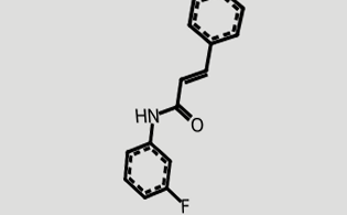 O=C(C=Cc1ccccc1)Nc1cccc(F)c1